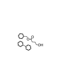 O=C(CCCO)OCc1ccccc1.c1ccc(-c2ccccc2)cc1